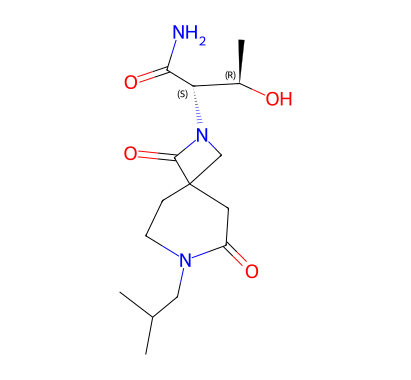 CC(C)CN1CCC2(CC1=O)CN([C@H](C(N)=O)[C@@H](C)O)C2=O